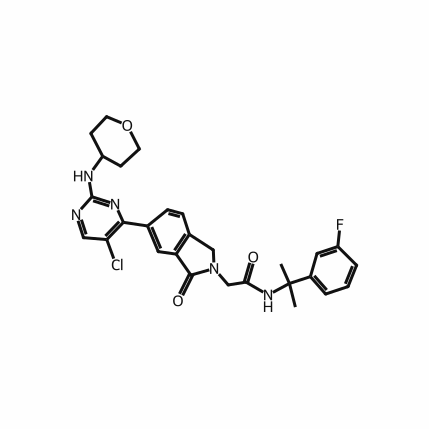 CC(C)(NC(=O)CN1Cc2ccc(-c3nc(NC4CCOCC4)ncc3Cl)cc2C1=O)c1cccc(F)c1